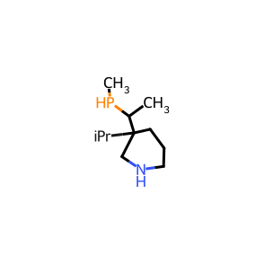 CPC(C)C1(C(C)C)CCCNC1